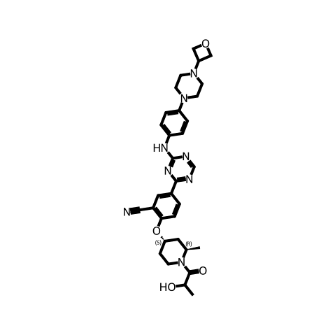 CC(O)C(=O)N1CC[C@H](Oc2ccc(-c3ncnc(Nc4ccc(N5CCN(C6COC6)CC5)cc4)n3)cc2C#N)C[C@H]1C